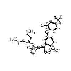 CCCCC(CCC)OP(=O)(O)CNC(=O)c1cc(Oc2ccc(C(F)(F)F)cc2Cl)ccc1[N+](=O)[O-]